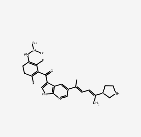 CCC(C)[S+]([O-])NC1=C(F)C(C(=O)c2c[nH]c3ncc(/C(C)=C/C=C(\N)N4CCNC4)cc23)=C(F)CC1